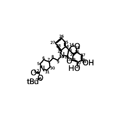 CC(C)(C)OC(=O)N1CCC(CCN2C(=O)C3(COc4cc(O)c(O)cc43)c3ccccc32)CC1